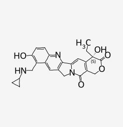 CC[C@@]1(O)C(=O)OCc2c1cc1n(c2=O)Cc2cc3c(CNC4CC4)c(O)ccc3nc2-1